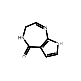 O=C1NCC=Nc2[nH]ccc21